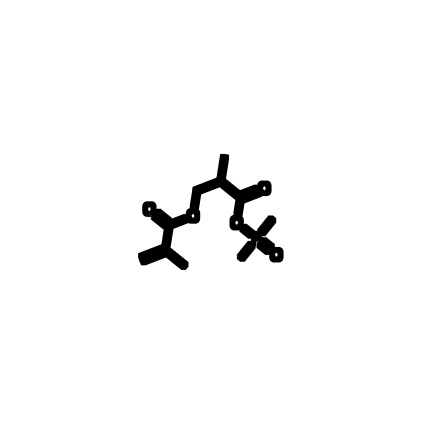 C=C(C)C(=O)OCC(C)C(=O)OP(C)(C)=O